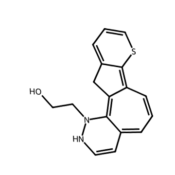 OCCN1NC=CC2=CC=CC3=C4SC=CC=C4CC3=C21